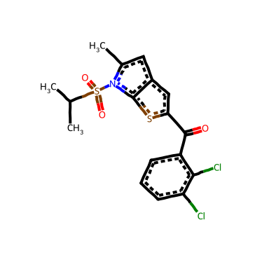 Cc1cc2cc(C(=O)c3cccc(Cl)c3Cl)sc2n1S(=O)(=O)C(C)C